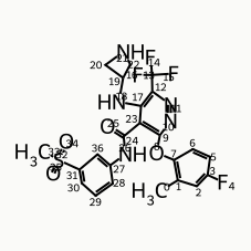 Cc1cc(F)ccc1Oc1nnc(C(F)(F)F)c(NC2CNC2)c1C(=O)Nc1cccc(S(C)(=O)=O)c1